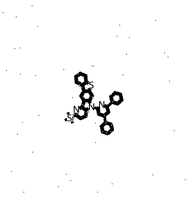 C[Si](C)(C)c1ccc2c(n1)c1cc3c(cc1n2-c1cc(-c2ccccc2)cc(-c2ccccc2)n1)sc1ccccc13